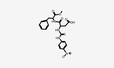 COC(=O)C(Cc1ccccc1)NC(=O)C(CC(=O)O)NC(=S)Nc1ccc([N+](=O)[O-])cc1